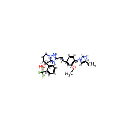 COc1cc(/C=C/c2nc3n(n2)CCC[C@]3(O)c2ccccc2C(F)(F)F)ccc1-n1cnc(C)c1